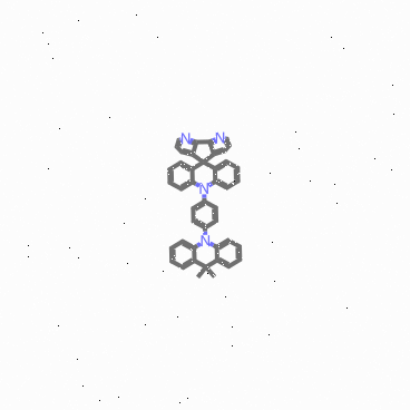 CC1(C)c2ccccc2N(c2ccc(N3c4ccccc4C4(c5ccccc53)c3cccnc3-c3ncccc34)cc2)c2ccccc21